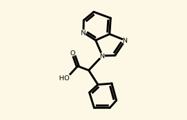 O=C(O)C(c1ccccc1)n1cnc2cccnc21